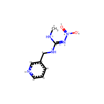 CN/C(=N\[N+](=O)[O-])NCc1cccnc1